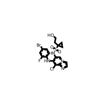 O=S(=O)(Nc1cn2ccnc2c(Cl)c1Nc1ccc(Br)cc1F)C1(CCO)CC1